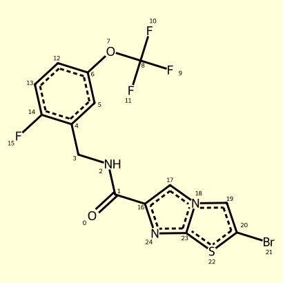 O=C(NCc1cc(OC(F)(F)F)ccc1F)c1cn2cc(Br)sc2n1